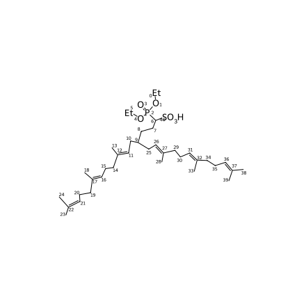 CCOP(=O)(OCC)C(CCC(C/C=C(\C)CC/C=C(\C)CCC=C(C)C)C/C=C(\C)CC/C=C(\C)CCC=C(C)C)S(=O)(=O)O